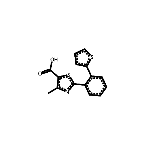 Cc1nc(-c2ccccc2-c2cccs2)sc1C(=O)O